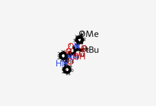 COc1ccc(N2C(=O)C(C(O)C(=O)NC3(C(=O)NC4CCCCC4)CCCCC3)C2C(=O)OC(C)(C)C)cc1